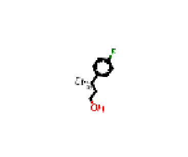 CC[C@@H](CCO)c1ccc(F)cc1